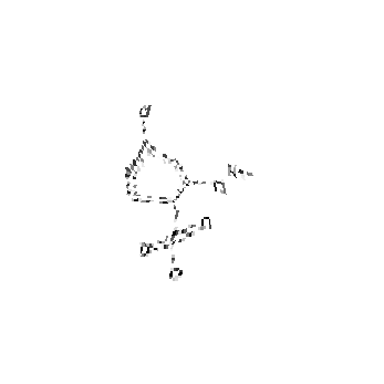 O=S(=O)([O-])c1ccc(Cl)cc1Cl.[Na+]